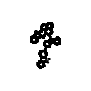 C[Si]1(C)c2ccccc2-c2ccc(-c3ccc4c(c3)c3ccccc3n4-c3cc4cccc5ccc6c7oc8ccccc8c7cc3c6c54)cc21